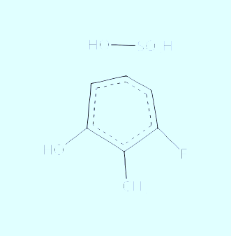 Cc1c(O)cccc1F.O=S(=O)(O)O